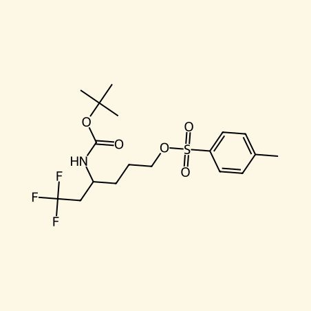 Cc1ccc(S(=O)(=O)OCCCC(CC(F)(F)F)NC(=O)OC(C)(C)C)cc1